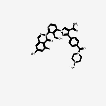 CN1CCN(C(=O)c2ccc(-c3nn(-c4ccnc(-n5ncc6cc(C(C)(C)C)cc(F)c6c5=O)c4CO)cc3C(N)=O)cc2)CC1